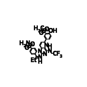 CC[C@@H](Nc1nc(NCC(F)(F)F)c2nc(-c3ccc(O)c(S(C)(=O)=O)c3)ccc2n1)c1ccc(S(N)(=O)=O)cc1